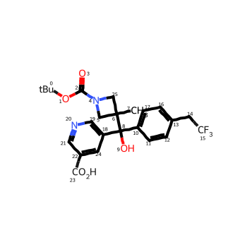 CC(C)(C)OC(=O)N1CC(C)(C(O)(c2ccc(CC(F)(F)F)cc2)c2cncc(C(=O)O)c2)C1